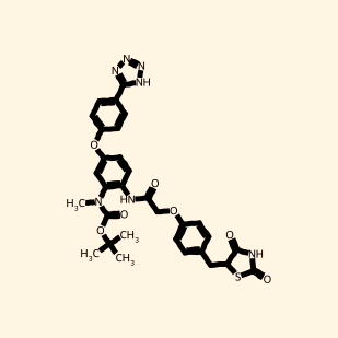 CN(C(=O)OC(C)(C)C)c1cc(Oc2ccc(-c3nnn[nH]3)cc2)ccc1NC(=O)COc1ccc(CC2SC(=O)NC2=O)cc1